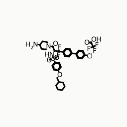 NC1CCN(C(=O)C(NS(=O)(=O)c2ccc(OCC3CCCCC3)cc2)C(F)(F)c2ccc(-c3ccc(Cl)cc3)cc2)CC1.O=C(O)C(F)(F)F